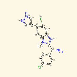 CCn1c(C(N)c2ccc(Cl)cc2)nc2cc(F)c(-c3cn[nH]c3)cc21